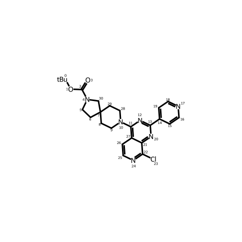 CC(C)(C)OC(=O)N1CCC2(CCN(c3nc(-c4ccncc4)nc4c(Cl)nccc34)CC2)C1